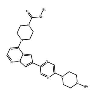 CCNC(=O)N1CCN(c2ccnn3cc(-c4cnc(N5CCN(C(C)C)CC5)cn4)cc23)CC1